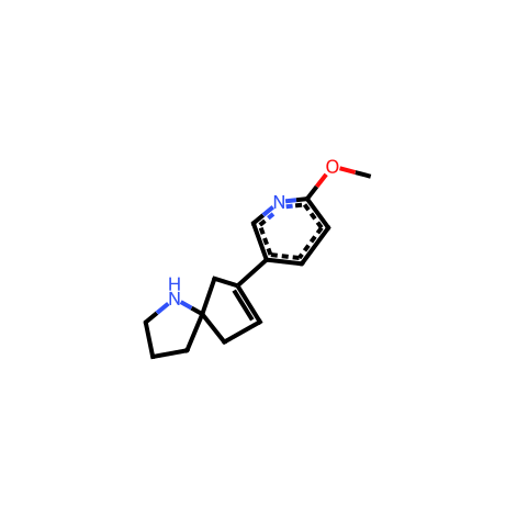 COc1ccc(C2=CCC3(CCCN3)C2)cn1